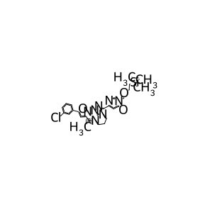 C[C@H](c1cc(-c2cccc(Cl)c2)on1)N1CCCn2c(-c3cc(=O)n(COCC[Si](C)(C)C)cn3)nnc21